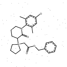 Cc1cc(Cl)cc(C)c1N1CCCC([N+]2(CC(=O)OCc3ccccc3)CCCC2)C1=O